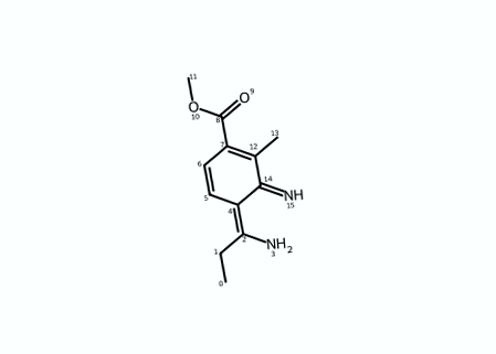 CC/C(N)=C1\C=CC(C(=O)OC)=C(C)C1=N